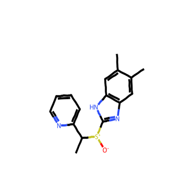 Cc1cc2nc([S+]([O-])C(C)c3ccccn3)[nH]c2cc1C